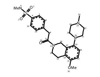 CNS(=O)(=O)c1ccc(CC(=O)N2CCc3c(OC)ccc(N4CCN(C)CC4)c3C2)cc1